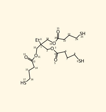 CCC(COC(=O)CCCS)(COC(=O)CCCS)COC(=O)CCCS